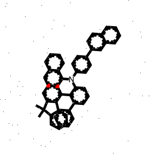 CC1(C)c2ccccc2-c2c(-c3c(-c4ccccc4)cccc3N(c3ccc(-c4ccc5ccccc5c4)cc3)c3cccc4ccccc34)cccc21